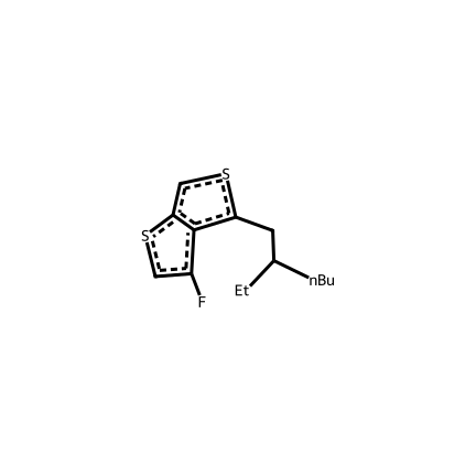 CCCCC(CC)Cc1scc2scc(F)c12